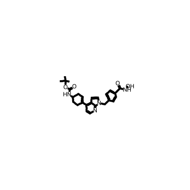 CC(C)(C)OC(=O)NC1CC=C(c2ccnc3c2ccn3Cc2ccc(C(=O)NO)cc2)CC1